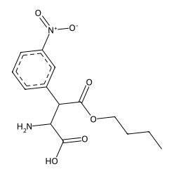 CCCCOC(=O)C(c1cccc([N+](=O)[O-])c1)C(N)C(=O)O